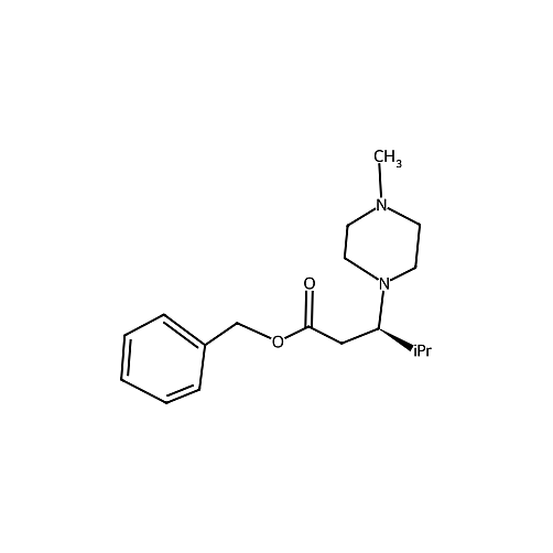 CC(C)[C@@H](CC(=O)OCc1ccccc1)N1CCN(C)CC1